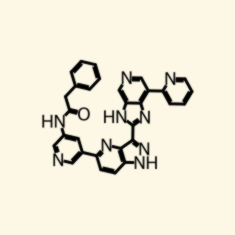 O=C(Cc1ccccc1)Nc1cncc(-c2ccc3[nH]nc(-c4nc5c(-c6ccccn6)cncc5[nH]4)c3n2)c1